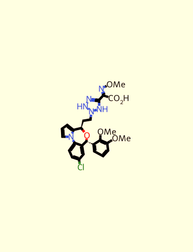 CON=C(C(=O)O)C1=NNN(CC[C@H]2O[C@H](c3cccc(OC)c3OC)c3cc(Cl)ccc3-n3cccc32)N1